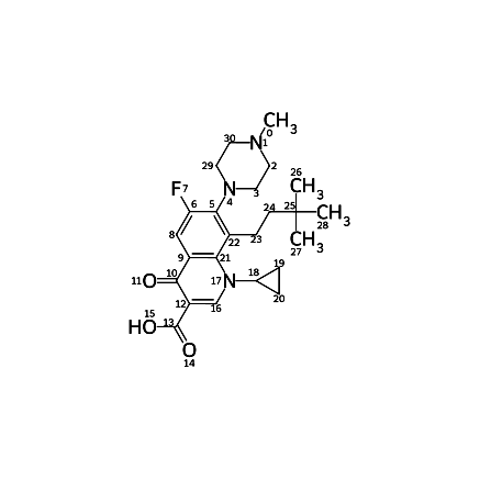 CN1CCN(c2c(F)cc3c(=O)c(C(=O)O)cn(C4CC4)c3c2CCC(C)(C)C)CC1